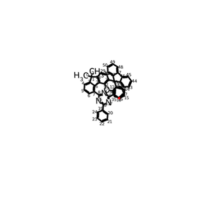 CC1(C)c2cccc(-c3nc(-c4ccccc4)nc(-c4ccccc4)n3)c2-c2c1ccc1c2Oc2ccccc2C12c1ccccc1-c1ccccc12